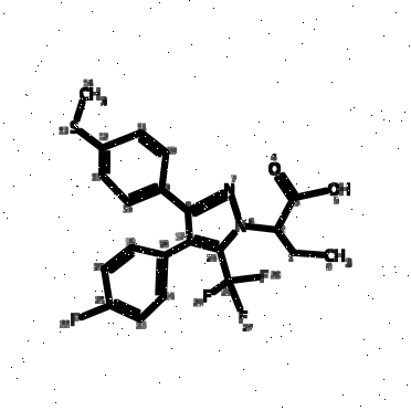 CCC(C(=O)O)n1nc(-c2ccc(SC)cc2)c(-c2ccc(F)cc2)c1C(F)(F)F